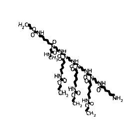 C=CCOC(=O)NCCCCCC(=O)N(CCNC(=O)CN(CCNC(=O)CN(CCNC(=O)CN(CCNC(=O)CCCCCN)C(=O)CCCCCNC(=O)OCC=C)C(=O)CCCCCNC(=O)OCC=C)C(=O)CCCCCNC(=O)OCC=C)CC(=O)NC